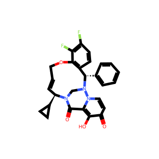 O=C1c2c(O)c(=O)ccn2N2CN1[C@@H](C1CC1)/C=C/COc1c(ccc(F)c1F)[C@@H]2c1ccccc1